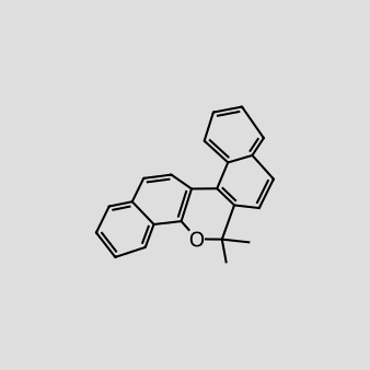 CC1(C)Oc2c(ccc3ccccc23)-c2c1ccc1ccccc21